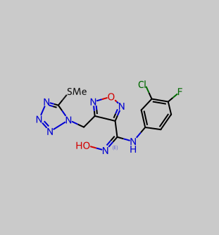 CSc1nnnn1Cc1nonc1/C(=N\O)Nc1ccc(F)c(Cl)c1